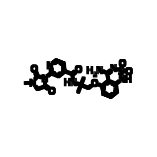 CN1CC(=O)N(c2cc(C(=O)NC(C)(C)COc3cccc4c3C(N)=NS(=O)(=O)N4)ccn2)C1=O